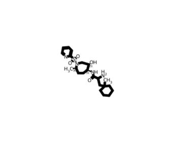 C[C@@H]1CC[C@H](NC(=O)C(N)CC2(C)CCCCC2)[C@@H](O)CN1S(=O)(=O)c1ccccn1